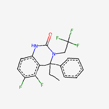 CCC1(c2ccccc2)c2c(ccc(F)c2F)NC(=O)N1CC(F)(F)F